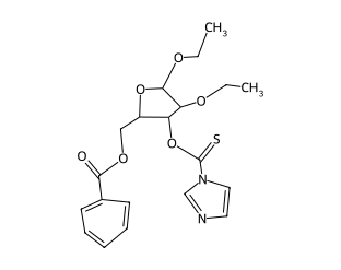 CCOC1OC(COC(=O)c2ccccc2)C(OC(=S)n2ccnc2)C1OCC